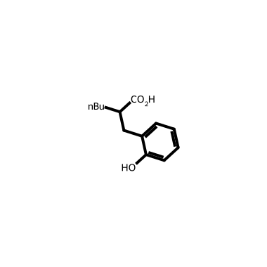 CCCCC(Cc1ccccc1O)C(=O)O